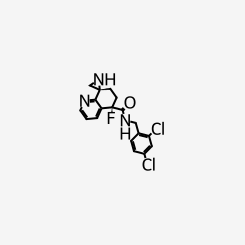 O=C(NCc1ccc(Cl)cc1Cl)[C@]1(F)CC[C@]2(CN2)c2ncccc21